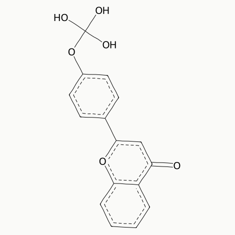 O=c1cc(-c2ccc(OC(O)(O)O)cc2)oc2ccccc12